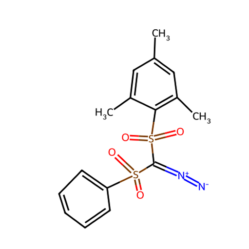 Cc1cc(C)c(S(=O)(=O)C(=[N+]=[N-])S(=O)(=O)c2ccccc2)c(C)c1